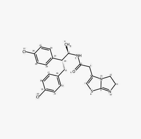 C[C@@H](NC(=O)CC1=CSC2=NCCN12)[C@H](Cc1ccc(Cl)cc1)c1ccc(Cl)cc1